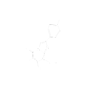 CCCCCn1c(C)c(F)c(=O)n2cc(-c3ccc(Cl)cc3)nc12